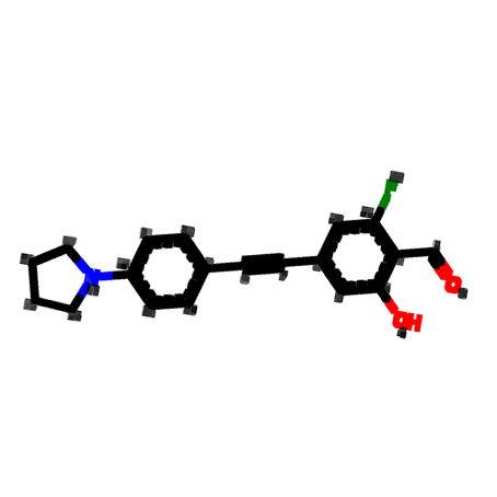 O=Cc1c(O)cc(C#Cc2ccc(N3CCCC3)cc2)cc1F